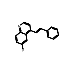 Fc1ccc2nccc(/C=C/c3ccccc3)c2c1